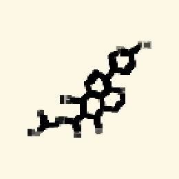 O=C(O)CNC(=O)c1c(O)c2ccc(-c3ccc(O)nc3)c3c2n(c1=O)CCO3